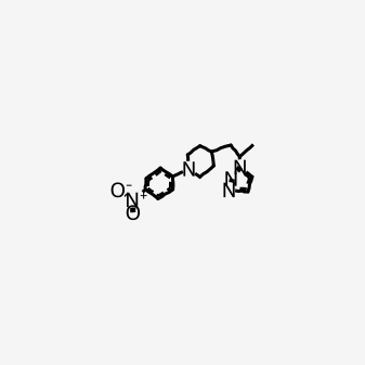 CC(CC1CCN(c2ccc([N+](=O)[O-])cc2)CC1)n1ccnn1